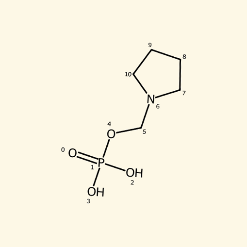 O=P(O)(O)OCN1CCCC1